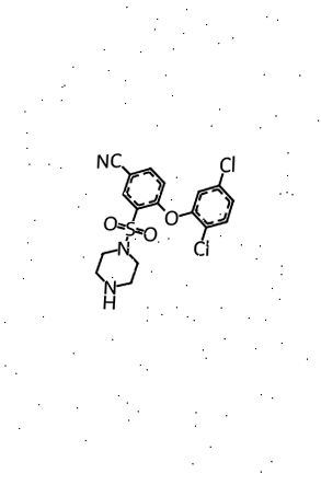 N#Cc1ccc(Oc2cc(Cl)ccc2Cl)c(S(=O)(=O)N2CCNCC2)c1